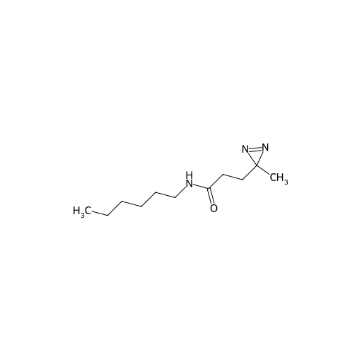 CCCCCCNC(=O)CCC1(C)N=N1